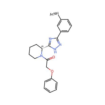 CC(=O)Nc1cccc(-c2n[nH]c([C@H]3CCCCN3C(=O)COc3ccccc3)n2)c1